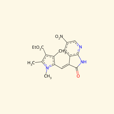 CCOC(=O)c1c(C)c(C=C2C(=O)Nc3ncc([N+](=O)[O-])cc32)n(C)c1C